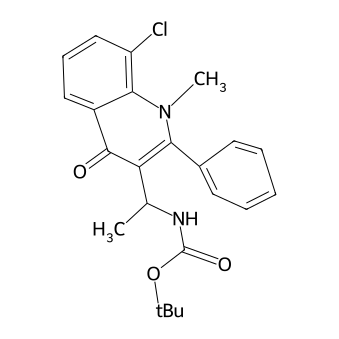 CC(NC(=O)OC(C)(C)C)c1c(-c2ccccc2)n(C)c2c(Cl)cccc2c1=O